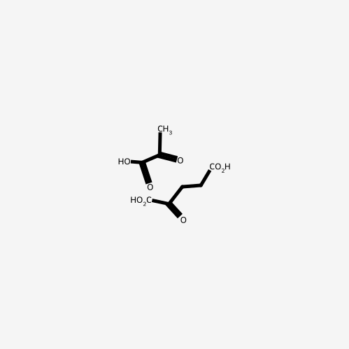 CC(=O)C(=O)O.O=C(O)CCC(=O)C(=O)O